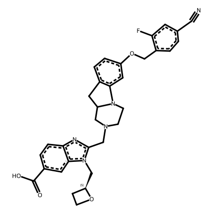 N#Cc1ccc(COc2ccc3c(c2)N2CCN(Cc4nc5ccc(C(=O)O)cc5n4C[C@@H]4CCO4)CC2C3)c(F)c1